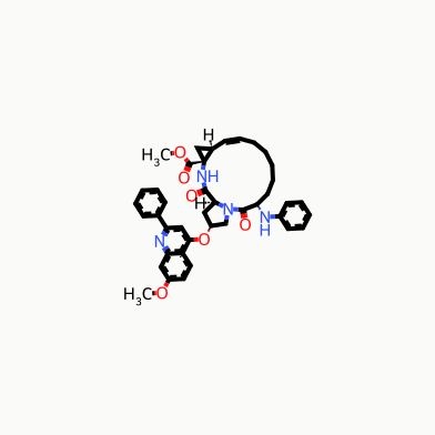 COC(=O)[C@@]12C[C@H]1/C=C\CCCCC[C@H](Nc1ccccc1)C(=O)N1C[C@H](Oc3cc(-c4ccccc4)nc4cc(OC)ccc34)C[C@H]1C(=O)N2